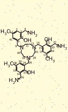 Cc1cc(CN)c(O)c(CN2CCN(Cc3cc(C)cc(CN)c3O)CCN(Cc3cc(C)cc(CN)c3O)CC2)c1